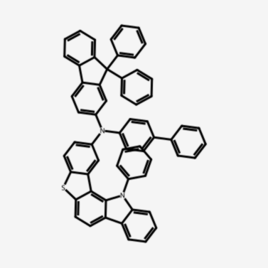 c1ccc(-c2ccc(N(c3ccc4c(c3)C(c3ccccc3)(c3ccccc3)c3ccccc3-4)c3ccc4sc5ccc6c7ccccc7n(-c7ccccc7)c6c5c4c3)cc2)cc1